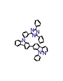 c1ccc(-c2nc(-c3ccccc3)nc(-c3cccc(-n4c5ccccc5c5ccc(-c6ccc7c8cccnc8n(-c8ccccc8)c7c6)cc54)c3)n2)cc1